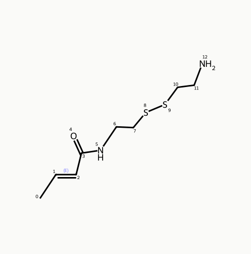 C/C=C/C(=O)NCCSSCCN